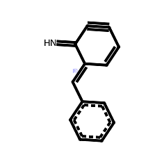 N=C1C#CC=C/C1=C\c1ccccc1